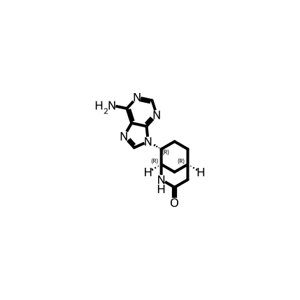 Nc1ncnc2c1ncn2[C@@H]1CC[C@H]2CC(=O)N[C@@H]1C2